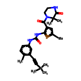 Cc1ccc(NC(=O)Nc2sc(C(C)(C)C)cc2C(=O)N2CCNC(=O)C2(C)C)cc1C#C[Si](C)(C)C